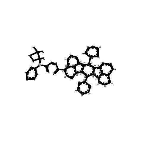 C=C(/C=C\C(=C)N(c1ccccc1)C1(C)CCC1(C)C)c1ccc2c3c(-c4ccccc4)c4c5cccc6cccc(c4c(-c4ccccc4)c3c3cccc1c32)c65